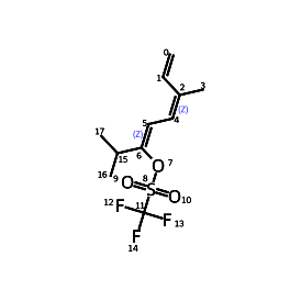 C=C/C(C)=C\C=C(/OS(=O)(=O)C(F)(F)F)C(C)C